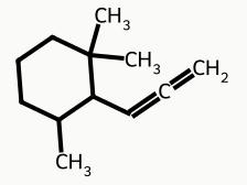 C=C=CC1C(C)CCCC1(C)C